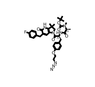 C[C@@H](C(=O)N[C@@H](Cc1ccc(OCCN=[N+]=[N-])cc1)C(=O)N1CC(C)(C)c2[nH]c(=O)c(Cc3ccc(F)cc3)cc21)N(C)C(=O)OC(C)(C)C